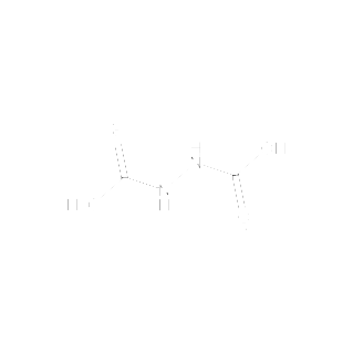 CC(=S)NNC(=O)O